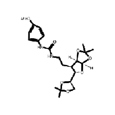 COc1ccc(NC(=O)NCC[C@H]2[C@H]3OC(C)(C)O[C@H]3O[C@@H]2[C@H]2COC(C)(C)O2)cc1